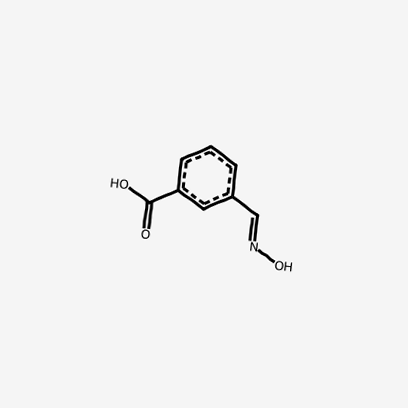 O=C(O)c1cccc(/C=N/O)c1